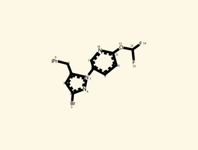 CC(C)Cc1cc(Br)nn1-c1ccc(OC(F)F)nc1